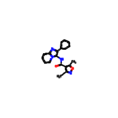 Cc1noc(C)c1C(=O)Nc1c(-c2ccccc2)nc2ccccn12